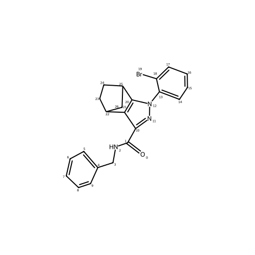 O=C(NCc1ccccc1)c1nn(-c2ccccc2Br)c2c1C1CCC2C1